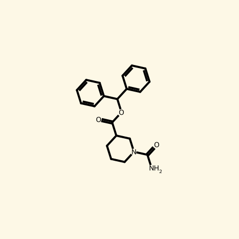 NC(=O)N1CCCC(C(=O)OC(c2ccccc2)c2ccccc2)C1